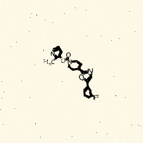 Cc1ncccc1OC(=O)N1CCC(c2ncc(-c3cccc(F)c3)o2)CC1